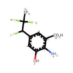 Nc1c(O)cc(C(F)C(F)(F)C(F)(F)F)cc1C(=O)O